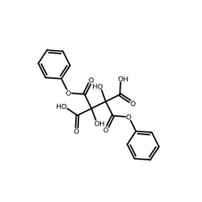 O=C(O)C(O)(C(=O)Oc1ccccc1)C(O)(C(=O)O)C(=O)Oc1ccccc1